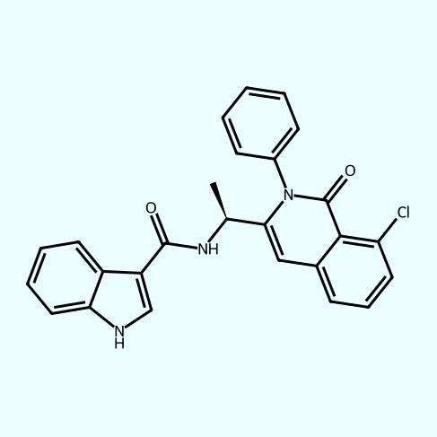 C[C@H](NC(=O)c1c[nH]c2ccccc12)c1cc2cccc(Cl)c2c(=O)n1-c1ccccc1